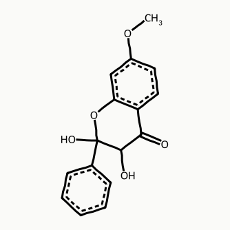 COc1ccc2c(c1)OC(O)(c1ccccc1)C(O)C2=O